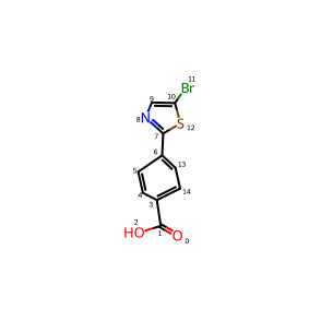 O=C(O)c1ccc(-c2ncc(Br)s2)cc1